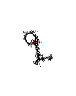 CO[C@H]1/C=C/O[C@@]2(C)Oc3c(C)c(O)c4c(=O)c(c5oc6cc(N7CCC(c8ccc(NC(=O)[C@H](CCCNC(N)=O)NC(=O)[C@@H](NC(=O)CCCCCN9C(=O)C=CC9=O)C(C)C)cc8)CC7)cc(O)c6nc-5c4c3C2=O)NC(=O)/C(C)=C\C=C\[C@H](C)C[C@@H](C)C[C@@H](C)[C@H](OC(C)=O)[C@@H]1C